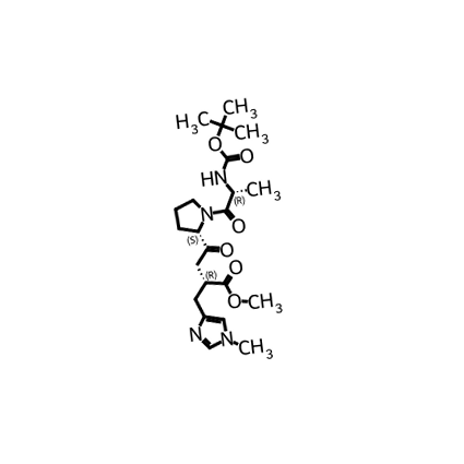 COC(=O)[C@@H](CC(=O)[C@@H]1CCCN1C(=O)[C@@H](C)NC(=O)OC(C)(C)C)Cc1cn(C)cn1